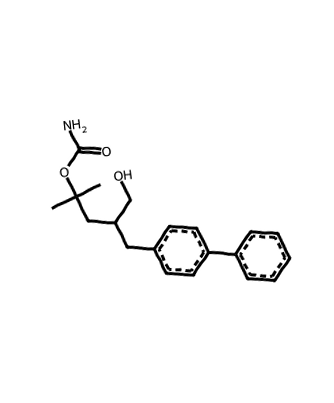 CC(C)(CC(CO)Cc1ccc(-c2ccccc2)cc1)OC(N)=O